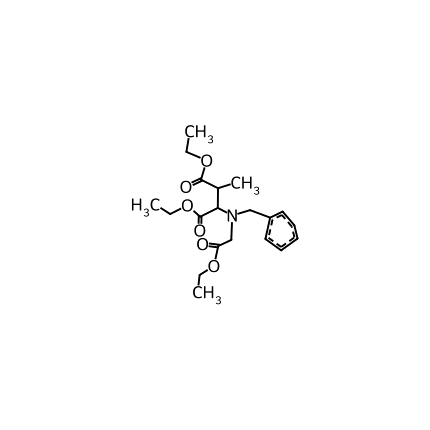 CCOC(=O)CN(Cc1ccccc1)C(C(=O)OCC)C(C)C(=O)OCC